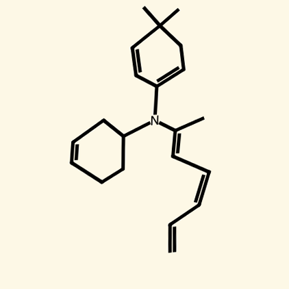 C=C/C=C\C=C(/C)N(C1=CCC(C)(C)C=C1)C1CC=CCC1